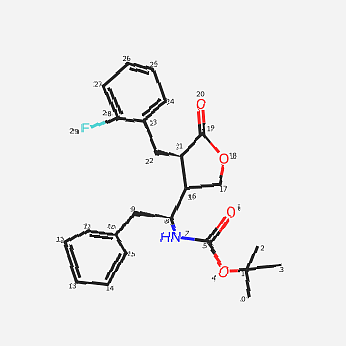 CC(C)(C)OC(=O)N[C@@H](Cc1ccccc1)C1COC(=O)[C@@H]1Cc1ccccc1F